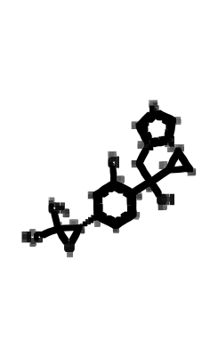 CC1(C)O[C@H]1c1ccc(C(O)(Cn2cncn2)C2CC2)c(Cl)c1